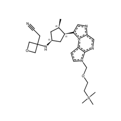 C[C@@H]1C[C@H](NC2(CC#N)COC2)C[C@@H]1c1cnc2cnc3c(ccn3COCC[Si](C)(C)C)n12